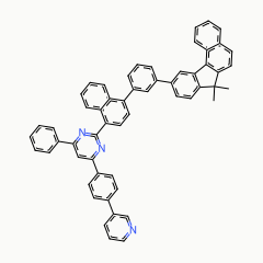 CC1(C)c2ccc(-c3cccc(-c4ccc(-c5nc(-c6ccccc6)cc(-c6ccc(-c7cccnc7)cc6)n5)c5ccccc45)c3)cc2-c2c1ccc1ccccc21